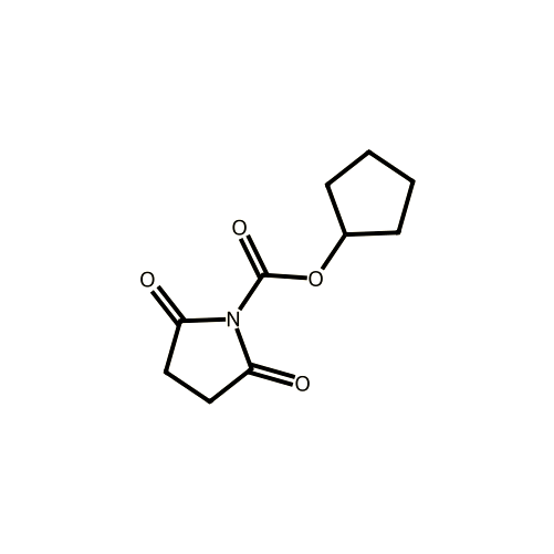 O=C1CCC(=O)N1C(=O)OC1CCCC1